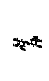 CC(C)(C)c1cc(S[Se]c2cc(C(C)(C)C)c(O)c(C(C)(C)C)c2)cc(C(C)(C)C)c1O